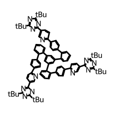 CC(C)(C)c1nc(-c2ccc(-c3ccc(-c4ccccc4-c4cc(-c5ccccc5-c5ccc(-c6ccc(-c7nc(C(C)(C)C)nc(C(C)(C)C)n7)cn6)cc5)cc(-c5ccccc5-c5ccc(-c6ccc(-c7nc(C(C)(C)C)nc(C(C)(C)C)n7)cn6)cc5)c4)cc3)nc2)nc(C(C)(C)C)n1